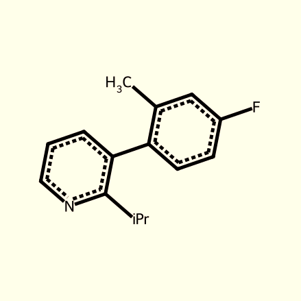 Cc1cc(F)ccc1-c1cccnc1C(C)C